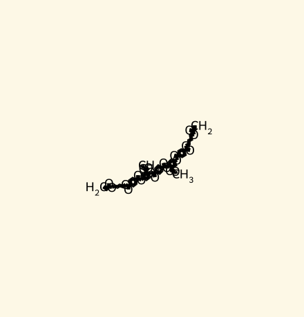 C=CC(=O)OCCCCOC(=O)C1CCC(C(=O)Oc2ccc(OC(=O)C3CCC(C(=O)Oc4ccc(OC(=O)C5CCC(C(=O)OCCCCOC(=O)C=C)CC5)cc4C(=O)OC)CC3)c(C(=O)OC)c2)CC1